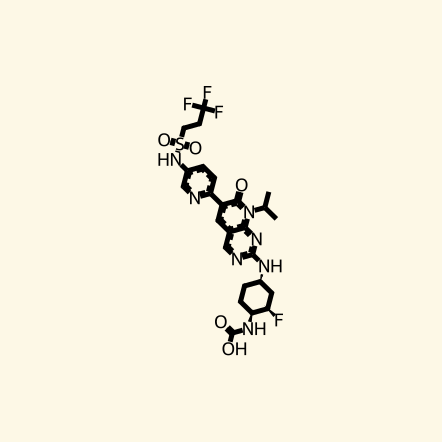 CC(C)n1c(=O)c(-c2ccc(NS(=O)(=O)CCC(F)(F)F)cn2)cc2cnc(N[C@H]3CC[C@H](NC(=O)O)[C@H](F)C3)nc21